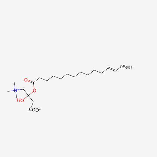 CCCCCC=CCCCCCCCCCCC(=O)OC(O)(CC(=O)[O-])C[N+](C)(C)C